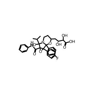 CC(C)C1(O)N2CCC(C[C@@H](O)C(O)C(=O)O)OC2(c2ccc(F)cc2)C2(c3ccccc3)OC12C(=O)Nc1ccccc1